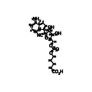 N#C[C@@]1(c2ccc3c(N)ncnn23)O[C@H](COC(=O)OCCCCC(=O)O)[C@@H](O)[C@H]1O